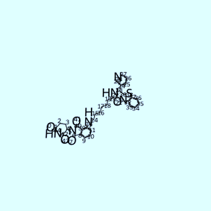 O=C1CCC(N2C(=O)c3cccc(NCCCCCCC(=O)NC(c4cccnc4)c4nc5ccccc5s4)c3C2=O)C(=O)N1